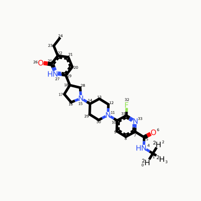 [2H]C([2H])([2H])NC(=O)c1ccc(N2CCC(N3CCC(c4ccc(CC)c(=O)[nH]4)C3)CC2)c(F)n1